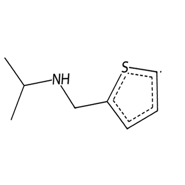 CC(C)NCc1cc[c]s1